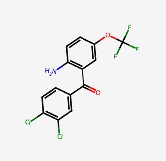 Nc1ccc(OC(F)(F)F)cc1C(=O)c1ccc(Cl)c(Cl)c1